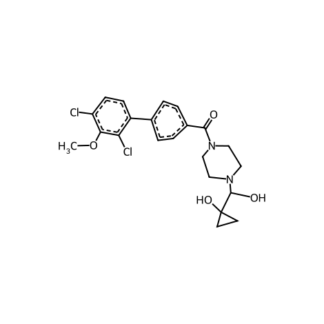 COc1c(Cl)ccc(-c2ccc(C(=O)N3CCN(C(O)C4(O)CC4)CC3)cc2)c1Cl